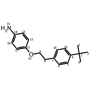 CC(C)(C)c1ccc(CCOc2ccc(N)cc2)cc1